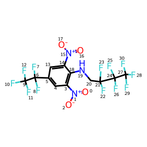 O=[N+]([O-])c1cc(C(F)(F)C(F)(F)F)cc([N+](=O)[O-])c1NCC(F)(F)C(F)(F)C(F)(F)F